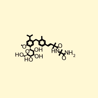 COc1cc(C(C)C)c(Cc2ccc(/C=C/C(C)(C)C(=O)NC(C)(C)C(N)=O)cc2C)cc1[C@@H]1O[C@H](CO)[C@@H](O)[C@H](O)[C@@H]1O